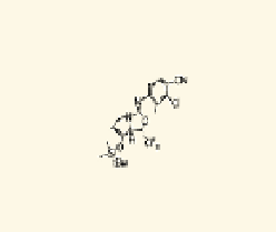 Cc1c(/N=C2\O[C@H](C(F)(F)F)[C@@H]3C(O[Si](C)(C)C(C)(C)C)=CCN23)ccc(C#N)c1Cl